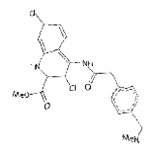 CNCc1ccc(CC(=O)NC2=C3C=CC(Cl)C=C3NC(C(=O)OC)C2Cl)cc1